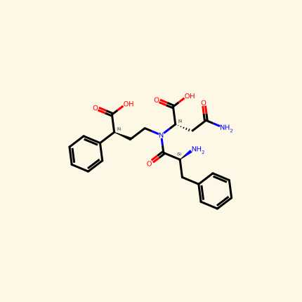 NC(=O)C[C@@H](C(=O)O)N(CC[C@H](C(=O)O)c1ccccc1)C(=O)[C@@H](N)Cc1ccccc1